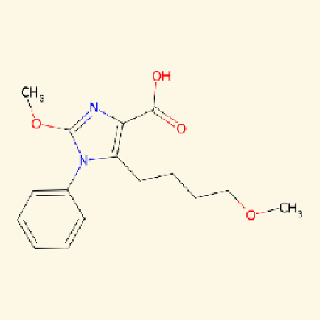 COCCCCc1c(C(=O)O)nc(OC)n1-c1ccccc1